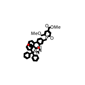 COCc1cc(C(=O)OC)cc(=O)n1Cc1ccc(-c2ccccc2-c2nnnn2C(c2ccccc2)(c2ccccc2)c2ccccc2)c(Cl)c1